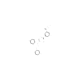 CCCCNC(=O)c1cc(C)cc(C(=O)N[C@@H](Cc2cc(F)cc(F)c2)[C@H](O)CNCc2cccc(CC)c2)c1